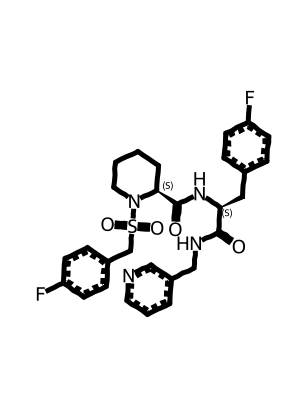 O=C(NCc1cccnc1)[C@H](Cc1ccc(F)cc1)NC(=O)[C@@H]1CCCCN1S(=O)(=O)Cc1ccc(F)cc1